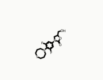 O=C1OC(CO)CN1c1cc(F)c(N2CCCSCCC2)c(F)c1